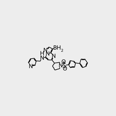 Bc1cnn2c(NCc3cccnc3)cc(C3CCCN(S(=O)(=O)c4ccc(-c5ccccc5)cc4)C3)nc12